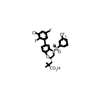 CC(C)(C[C@H]1CN(S(=O)(=O)c2cccc(C(F)(F)F)c2)c2cc(-c3cc(F)cc(Cl)c3F)ccc2O1)C(=O)O